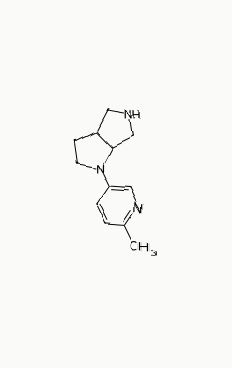 Cc1ccc(N2CCC3CNCC32)cn1